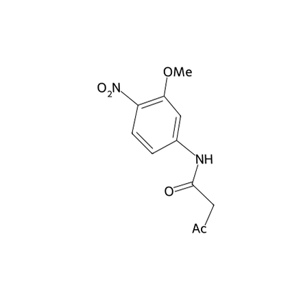 COc1cc(NC(=O)CC(C)=O)ccc1[N+](=O)[O-]